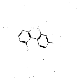 O=[N+]([O-])c1ccc(-c2c([N+](=O)[O-])[c]ccc2[N+](=O)[O-])c([N+](=O)[O-])c1